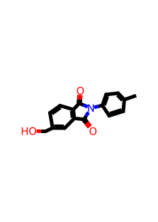 Cc1ccc(N2C(=O)c3ccc(CO)cc3C2=O)cc1